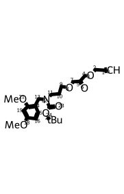 C#CCOCC(=O)COCCCN(Cc1ccc(OC)cc1OC)C(=O)OC(C)(C)C